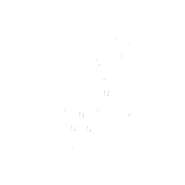 c1ccc(-c2nc(-c3ccccc3)nc(-c3cc(-n4c5ccccc5c5c4ccc4c6ccccc6n(-c6ccc7ccccc7c6)c45)c4ccccc4c3)n2)cc1